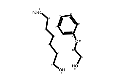 CCCCCCCCCCCCCCCCO.OCCOc1ccccc1